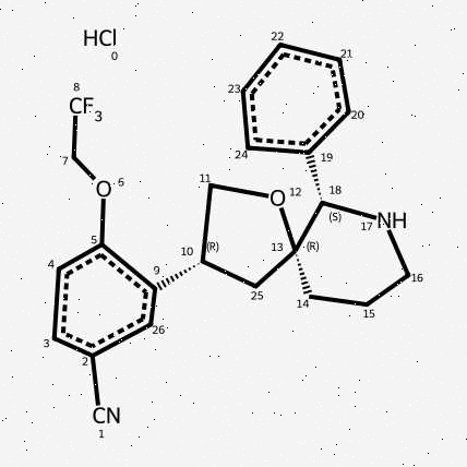 Cl.N#Cc1ccc(OCC(F)(F)F)c([C@@H]2CO[C@]3(CCCN[C@H]3c3ccccc3)C2)c1